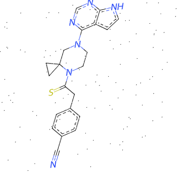 N#Cc1ccc(CC(=S)N2CCN(c3ncnc4[nH]ccc34)CC23CC3)cc1